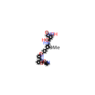 COc1cc(-c2ccc(COc3cccc([C@@H](NC(=O)O[C@H]4CN5CCC4CC5)c4ccccc4)c3)cc2)ccc1CNC[C@H](O)c1ccc(O)c2[nH]c(=O)ccc12